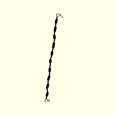 CC#CC#CC#CC#CC#CC#CC#CC#CC#CC#CC#N